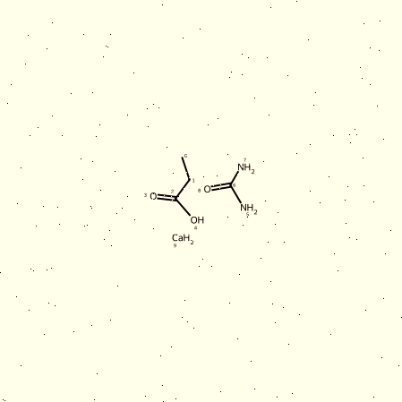 CCC(=O)O.NC(N)=O.[CaH2]